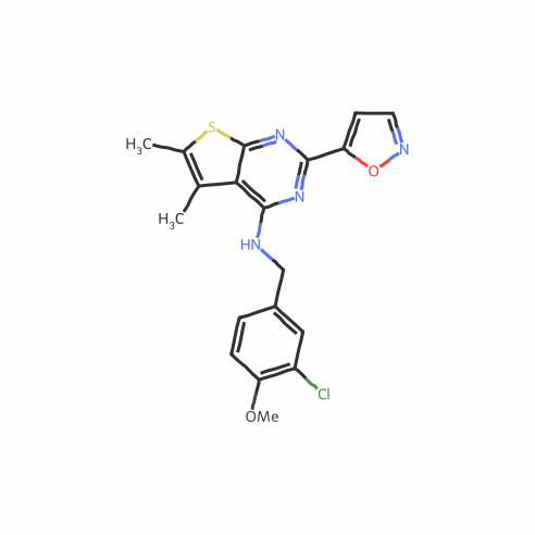 COc1ccc(CNc2nc(-c3ccno3)nc3sc(C)c(C)c23)cc1Cl